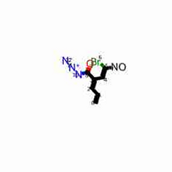 C=C/C=C(\C=C(/Br)N=O)C(=O)N=[N+]=[N-]